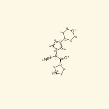 N#CN(C(=O)[C@H]1CCNC1)c1ncc(C2CCOCC2)s1